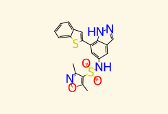 Cc1noc(C)c1S(=O)(=O)Nc1cc(-c2cc3ccccc3s2)c2[nH]ncc2c1